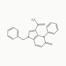 O=C(c1cn(Cc2ccccc2)c2ccc(=O)n(-c3ccccc3)c12)C(F)(F)F